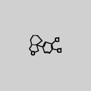 Clc1ccc(C23CCCCC2COC3)cc1Cl